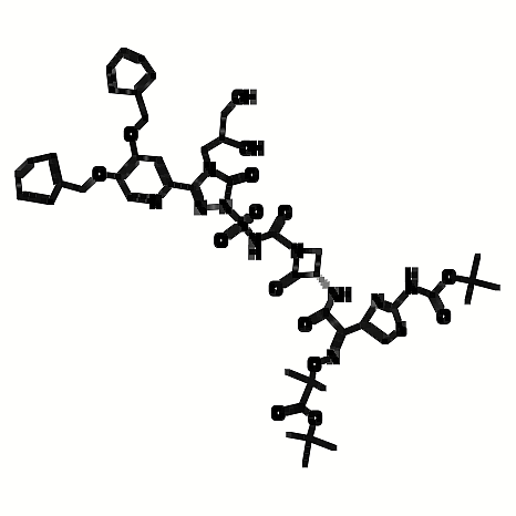 CC(C)(C)OC(=O)Nc1nc(/C(=N/OC(C)(C)C(=O)OC(C)(C)C)C(=O)N[C@H]2CN(C(=O)NS(=O)(=O)n3nc(-c4cc(OCc5ccccc5)c(OCc5ccccc5)cn4)n(CC(O)CO)c3=O)C2=O)cs1